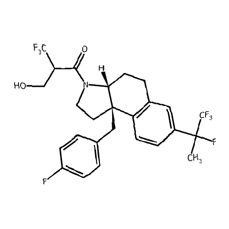 CC(F)(c1ccc2c(c1)CC[C@H]1N(C(=O)C(CO)C(F)(F)F)CC[C@@]21Cc1ccc(F)cc1)C(F)(F)F